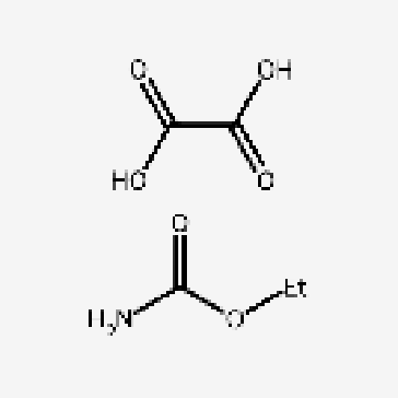 CCOC(N)=O.O=C(O)C(=O)O